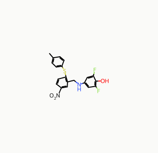 Cc1ccc(Sc2ccc([N+](=O)[O-])cc2CNc2cc(F)c(O)c(F)c2)cc1